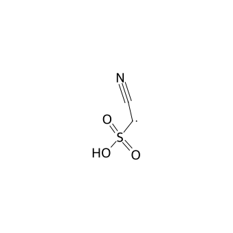 N#C[CH]S(=O)(=O)O